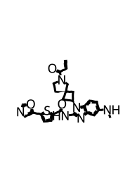 C=CC(=O)N1CC[C@]2(C1)C[C@H](n1c(NC(=O)c3ccc(-c4cnco4)s3)nc3cc(NC)ccc31)C2